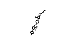 C=CCCCOc1ccc(C2=CCC(CCc3ccc(-c4ccc(C)cc4)c(F)c3F)CC2)c(F)c1